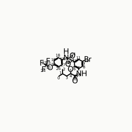 CC(C)CC1Oc2c(cc(Br)cc2S(=O)(=O)Nc2ccc(OC(F)(F)F)cc2)NC1=O